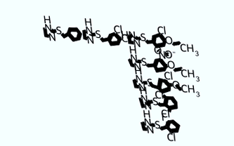 CCCOc1ccc(CSC2=NCCN2)cc1Cl.CCCOc1ccc(CSC2=NCCN2)cc1[N+](=O)[O-].CCOc1ccc(CSC2=NCCN2)cc1Cl.Clc1ccc(CSC2=NCCN2)cc1Cl.Clc1cccc(Cl)c1CSC1=NCCN1.Fc1cccc(Cl)c1CSC1=NCCN1.c1ccc(CSC2=NCCN2)cc1